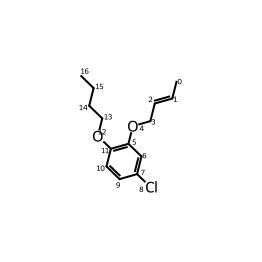 CC=CCOc1cc(Cl)ccc1OCCCC